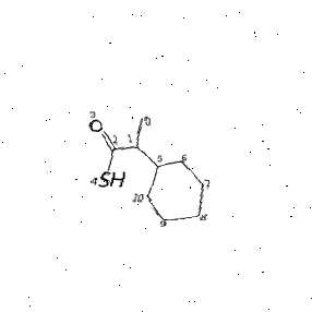 CC(C(=O)S)C1CCCCC1